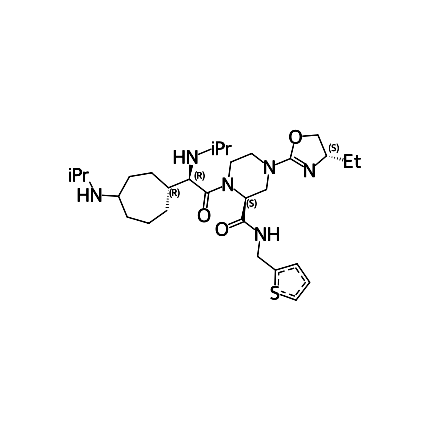 CC[C@H]1COC(N2CCN(C(=O)[C@H](NC(C)C)[C@@H]3CCCC(NC(C)C)CC3)[C@H](C(=O)NCc3cccs3)C2)=N1